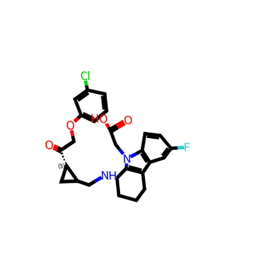 O=C(O)Cn1c2c(c3cc(F)ccc31)CCCC2NCC1C[C@@H]1C(=O)COc1cccc(Cl)c1